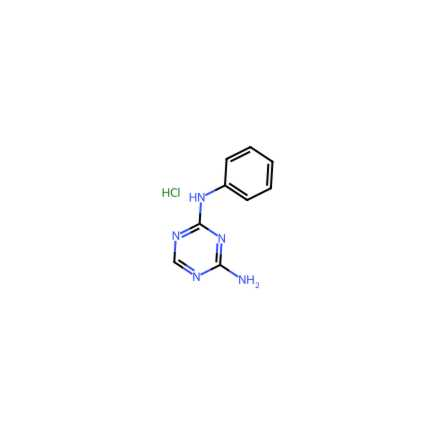 Cl.Nc1ncnc(Nc2ccccc2)n1